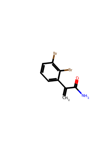 C=C(C(N)=O)c1cccc(Br)c1Br